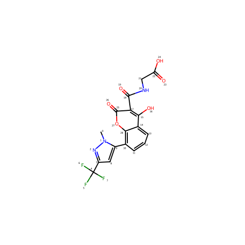 Cn1nc(C(F)(F)F)cc1-c1cccc2c(O)c(C(=O)NCC(=O)O)c(=O)oc12